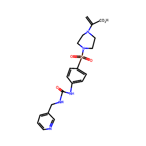 C=C(C(=O)O)N1CCN(S(=O)(=O)c2ccc(NC(=O)NCc3cccnc3)cc2)CC1